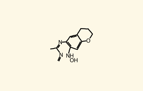 C=N/C(C)=N\c1cc2c(cc1NO)OCCC2